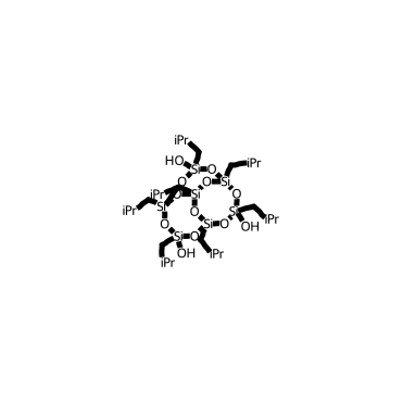 CC(C)C[Si]1(O)O[Si]2(CC(C)C)O[Si](O)(CC(C)C)O[Si]3(CC(C)C)O[Si](O)(CC(C)C)O[Si](CC(C)C)(O1)O[Si](CC(C)C)(O2)O3